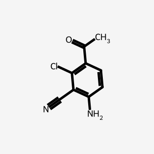 CC(=O)c1ccc(N)c(C#N)c1Cl